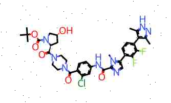 Cc1n[nH]c(C)c1-c1ccc(-c2cnc(C(=O)Nc3ccc(C(=O)N4CCN(C(=O)[C@@H]5C[C@@H](O)CN5C(=O)OC(C)(C)C)CC4)c(Cl)c3)n2C)c(F)c1F